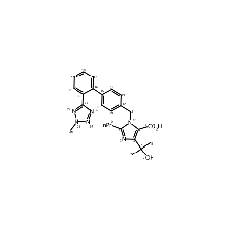 CCCc1nc(C(C)(C)O)c(C(=O)O)n1Cc1ccc(-c2ccccc2-c2nnn(C)n2)cc1